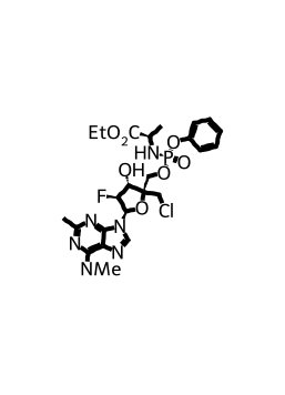 CCOC(=O)[C@@H](C)N[P@](=O)(OC[C@@]1(CCl)O[C@@H](n2cnc3c(NC)nc(C)nc32)[C@@H](F)[C@@H]1O)Oc1ccccc1